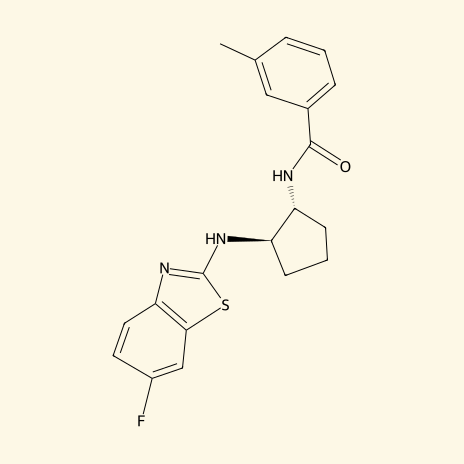 Cc1cccc(C(=O)N[C@@H]2CCC[C@H]2Nc2nc3ccc(F)cc3s2)c1